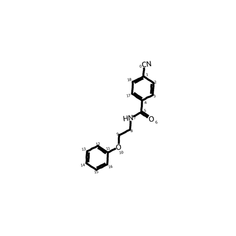 N#Cc1ccc(C(=O)NCCOc2ccccc2)cc1